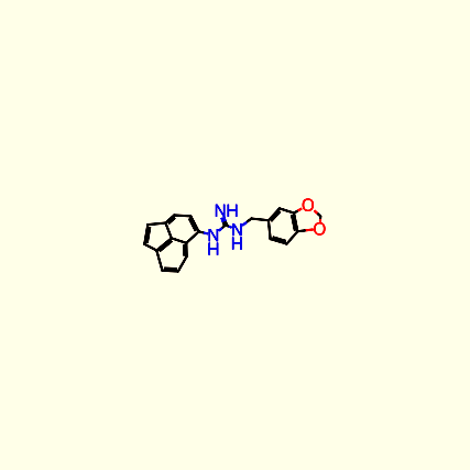 N=C(NCc1ccc2c(c1)OCO2)Nc1ccc2c3c(cccc13)C=C2